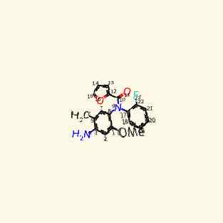 COc1cc(N)c(C)cc1N(C(=O)c1ccco1)c1ccccc1F